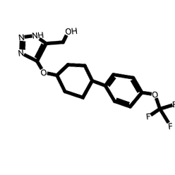 OCc1[nH]nnc1OC1CCC(c2ccc(OC(F)(F)F)cc2)CC1